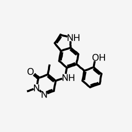 Cc1c(Nc2cc3cc[nH]c3cc2-c2ccccc2O)cnn(C)c1=O